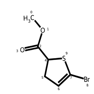 COC(=O)C1CC=C(Br)S1